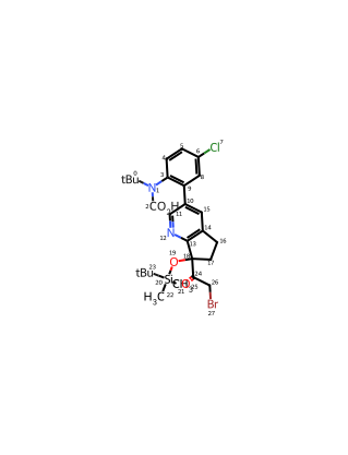 CC(C)(C)N(C(=O)O)c1ccc(Cl)cc1-c1cnc2c(c1)CCC2(O[Si](C)(C)C(C)(C)C)C(=O)CBr